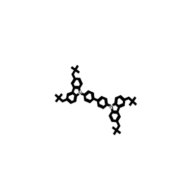 CC(C)(C)Cc1ccc2c(c1)c1cc(CC(C)(C)C)ccc1n2-c1ccc(-c2ccc(-n3c4ccc(CC(C)(C)C)cc4c4cc(CC(C)(C)C)ccc43)cc2)cc1